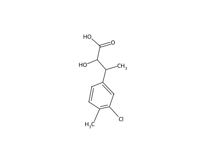 Cc1ccc(C(C)C(O)C(=O)O)cc1Cl